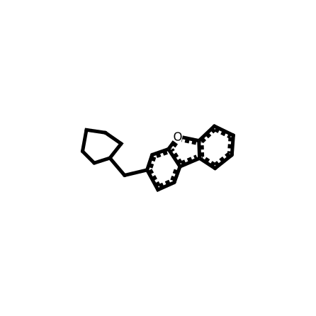 c1ccc2c(c1)oc1cc(CC3CCCCC3)ccc12